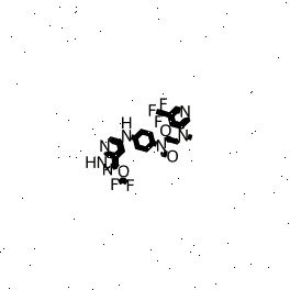 CN(CC(=O)N(C=O)C1CCC(Nc2cnc3[nH]nc(OC(F)F)c3c2)CC1)c1cncc(C(F)(F)F)c1